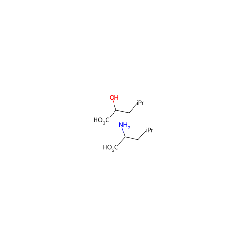 CC(C)CC(N)C(=O)O.CC(C)CC(O)C(=O)O